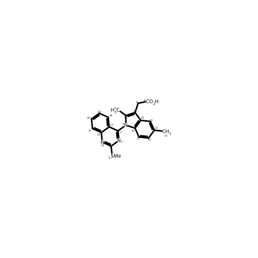 CSc1nc(-n2c(C)c(CC(=O)O)c3cc(C)ccc32)c2ccccc2n1